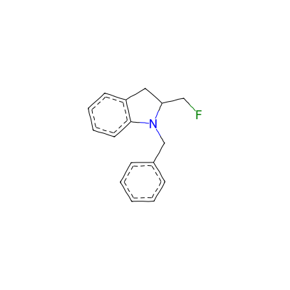 FCC1Cc2ccccc2N1Cc1ccccc1